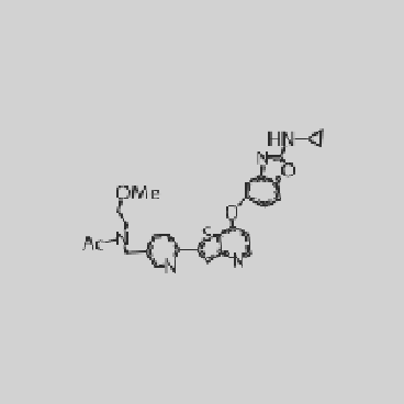 COCCN(Cc1ccc(-c2cc3nccc(Oc4ccc5oc(NC6CC6)nc5c4)c3s2)nc1)C(C)=O